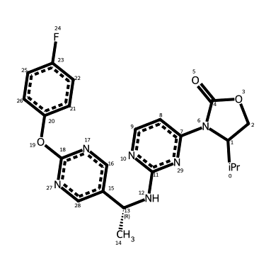 CC(C)C1COC(=O)N1c1ccnc(N[C@H](C)c2cnc(Oc3ccc(F)cc3)nc2)n1